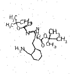 CC(C)(C)OC(=O)N=C(N)N(CC1CCCCC1CN)C(=O)OC(C)(C)C